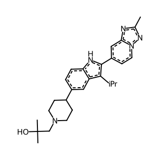 Cc1nc2cc(-c3[nH]c4ccc(C5CCN(CC(C)(C)O)CC5)cc4c3C(C)C)ccn2n1